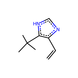 C=Cc1nc[nH]c1C(C)(C)C